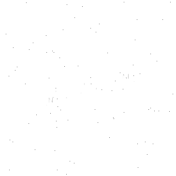 NCCCCOCCCCN